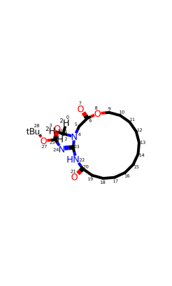 [2H]C([2H])([2H])N1CC(=O)OCCCCCCCCCCCC(=O)N/C1=N/C(=O)OC(C)(C)C